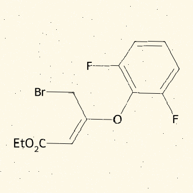 CCOC(=O)C=C(CBr)Oc1c(F)cccc1F